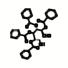 O=C[C@H](OC(=O)c1ccccc1)[C@@H](OC(=O)c1ccccc1)[C@H](OC(=O)c1ccccc1)[C@H](CO)OC(=O)c1ccccc1